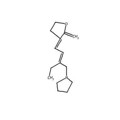 C=C1OCC/C1=C/C=C(\CC)CN1CCCC1